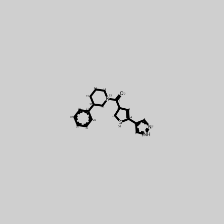 O=C(C1C=C(c2cn[nH]c2)SC1)N1CCCC(c2ccccc2)C1